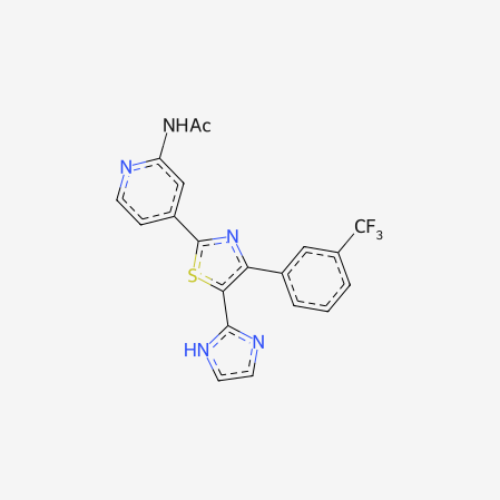 CC(=O)Nc1cc(-c2nc(-c3cccc(C(F)(F)F)c3)c(-c3ncc[nH]3)s2)ccn1